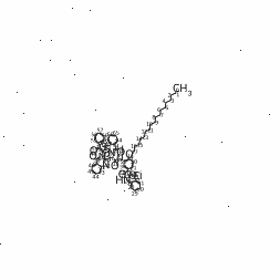 CCCCCCCCCCCCCCCCCCOc1ccc(S(=O)(=O)Nc2ccccc2Cl)cc1NC(=O)C(c1nc2ccccc2c(=O)n1CC(=O)c1ccccc1)N1C(=O)c2ccccc2S1(=O)=O